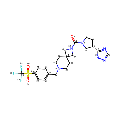 O=C(N1CC[C@H](c2ncn[nH]2)C1)N1CC2(CCN(Cc3ccc(S(=O)(=O)C(F)(F)F)cc3)CC2)C1